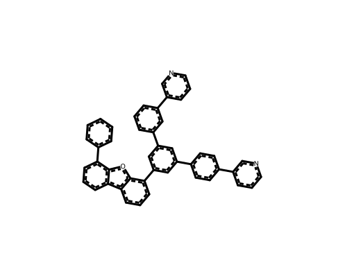 c1ccc(-c2cccc3c2oc2c(-c4cc(-c5ccc(-c6cccnc6)cc5)cc(-c5cccc(-c6cccnc6)c5)c4)cccc23)cc1